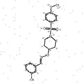 N#Cc1cccc(/C=N/OC2CCN(S(=O)(=O)c3ccc(OC(F)(F)F)cc3)CC2)c1